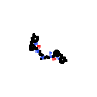 Cc1ccc2nc3c(C(=O)NCCCN(C)CCCNC(=O)c4cccc5cc6cc(C)ccc6nc45)cccc3cc2c1